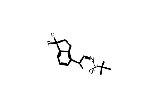 CC(/C=N\[S@+]([O-])C(C)(C)C)c1cccc2c1CCC2(F)F